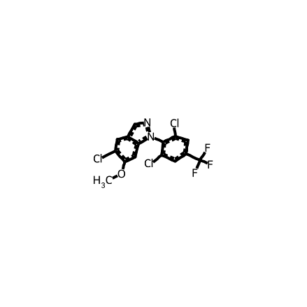 COc1cc2c(cnn2-c2c(Cl)cc(C(F)(F)F)cc2Cl)cc1Cl